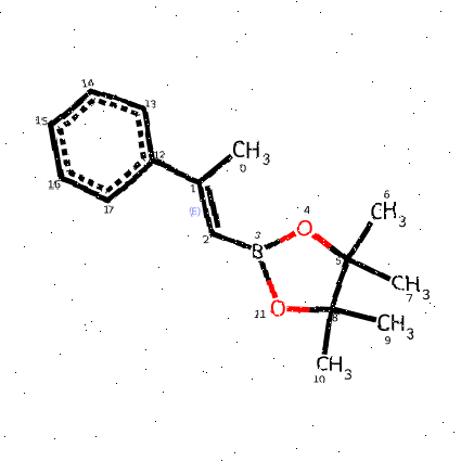 C/C(=C\B1OC(C)(C)C(C)(C)O1)c1ccccc1